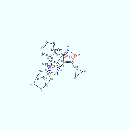 COC(=O)c1cnc(N2C3CCC2CC(OCc2c(-c4ccccc4C(F)(F)F)noc2C2CC2)C3)nc1